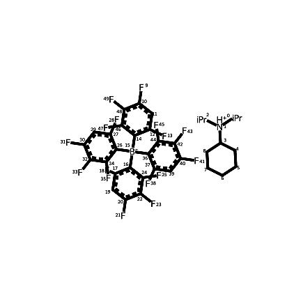 CC(C)[NH+](C(C)C)C1CCCCC1.Fc1cc(F)c([B-](c2c(F)cc(F)c(F)c2F)(c2c(F)cc(F)c(F)c2F)c2c(F)cc(F)c(F)c2F)c(F)c1F